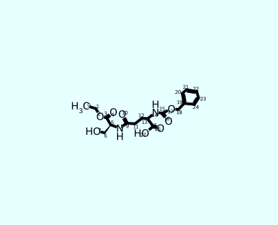 CCOC(=O)[C@H](CO)NC(=O)CCC(NC(=O)OCc1ccccc1)C(=O)O